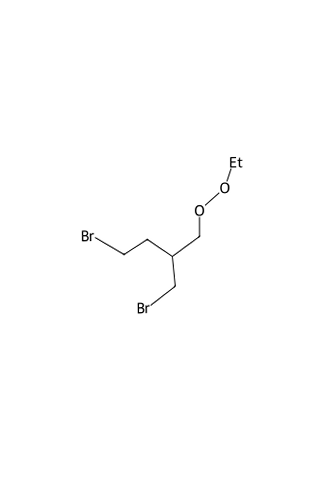 CCOOCC(CBr)CCBr